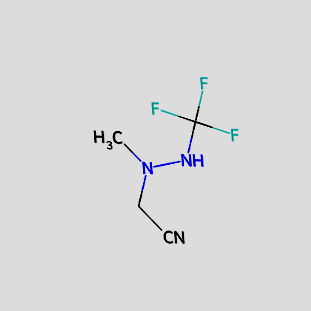 CN(CC#N)NC(F)(F)F